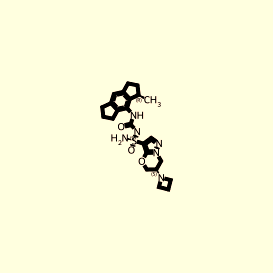 C[C@@H]1CCc2cc3c(c(NC(=O)N=[S@](N)(=O)c4cnn5c4OC[C@@H](N4CCC4)C5)c21)CCC3